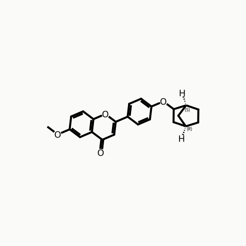 COc1ccc2oc(-c3ccc(OC4C[C@@H]5CC[C@H]4C5)cc3)cc(=O)c2c1